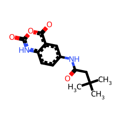 CC(C)(C)CC(=O)Nc1ccc2[nH]c(=O)oc(=O)c2c1